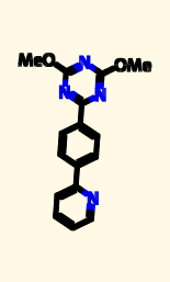 COc1nc(OC)nc(-c2ccc(-c3ccccn3)cc2)n1